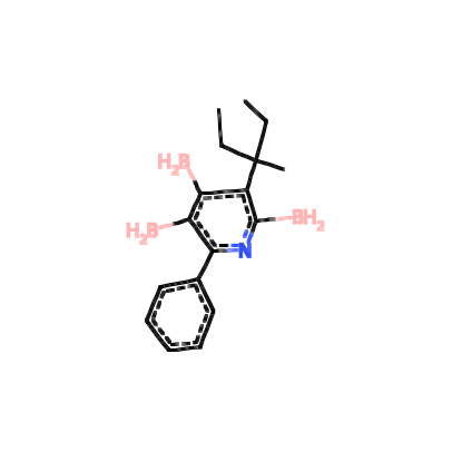 Bc1nc(-c2ccccc2)c(B)c(B)c1C(C)(CC)CC